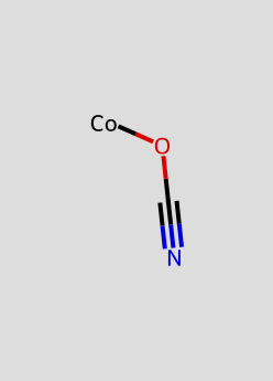 N#C[O][Co]